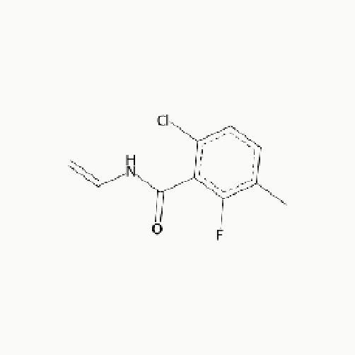 C=CNC(=O)c1c(Cl)ccc(C)c1F